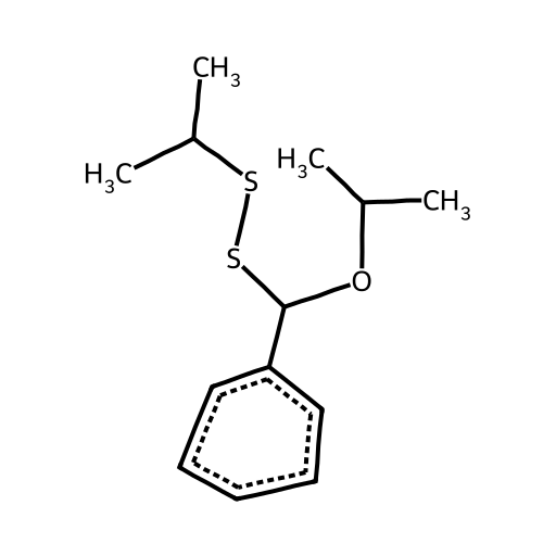 CC(C)OC(SSC(C)C)c1ccccc1